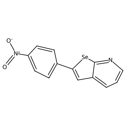 O=[N+]([O-])c1ccc(-c2cc3cccnc3[se]2)cc1